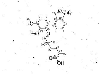 COc1ccc(-c2cccc3c2COC3=O)c(OCC(C)(C)CCC(C)C(=O)O)c1OC